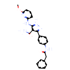 COc1cccc(Nc2[nH]nc(-c3ccc(NC(=O)Cc4ccccc4)cc3)c2C(N)=O)n1